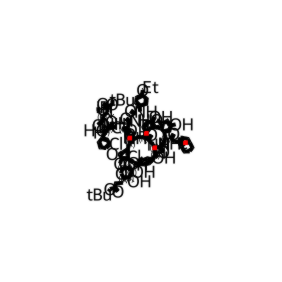 CCOc1ccc(NC(=O)NC(=O)C[C@@H]2CC(=O)[C@H](NC(=O)[C@@H](CC(C)C)N(C)C(=O)OC(C)(C)C)[C@H](O)c3ccc(c(Cl)c3)Oc3cc4cc(c3O[C@@H]3O[C@H](CCC(=O)OC(C)(C)C)[C@@H](O)[C@H](O)[C@H]3O)Oc3ccc(cc3Cl)[C@@H](O)[C@@H]3NC(=O)[C@H](CC(=O)[C@@H]4NC2=O)c2ccc(O)c(c2)-c2c(O)cc(O)cc2[C@@H](C(=O)CC2C4CC5CC(C4)CC2C5)NC3=O)cc1